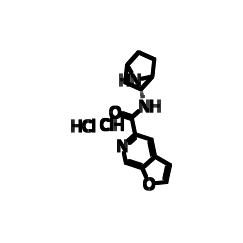 Cl.Cl.O=C(N[C@@H]1CC2CCC1N2)c1cc2ccoc2cn1